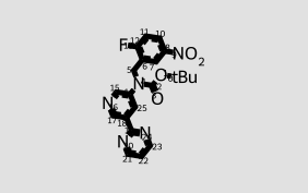 CC(C)(C)OC(=O)N(Cc1cc([N+](=O)[O-])ccc1F)c1cncc(-c2ncccn2)c1